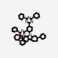 c1ccc(-c2ccc3c4ccc(-c5ccccc5)cc4n(-c4ccc(-c5nc(-c6ccccc6)nc(-c6ccccc6)n5)cc4-c4nc(-c5ccccc5)cc(-c5ccccc5)n4)c3c2)cc1